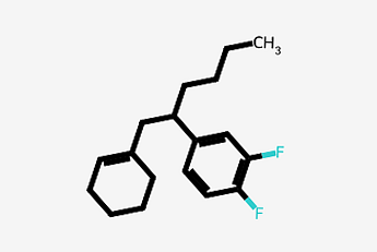 CCCCC(CC1=CCCCC1)c1ccc(F)c(F)c1